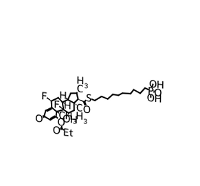 CCC(=O)OC1=CC(=O)C=C2[C@@H](F)C[C@H]3[C@@H]4C[C@@H](C)[C@@H](C(=O)SCCCCCCCCCCP(=O)(O)O)[C@@]4(C)C[C@H](O)[C@]3(F)[C@]12C